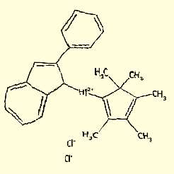 CC1=C(C)C(C)(C)[C]([Hf+2][CH]2C(c3ccccc3)=Cc3ccccc32)=C1C.[Cl-].[Cl-]